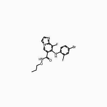 CCCONC(=O)c1cn2ccnc2c(F)c1Nc1ccc(Br)cc1F